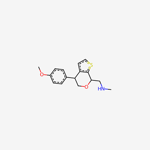 CNCC1OCC(c2ccc(OC)cc2)c2ccsc21